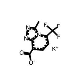 Cc1nnc2c(C(=O)[O-])ccc(C(F)(F)F)n12.[K+]